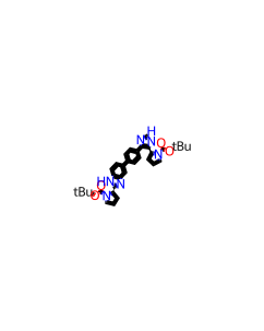 CC(C)(C)OC(=O)N1CCC[C@H]1c1nc2cc(-c3ccc(-c4nc[nH]c4[C@@H]4CCCN4C(=O)OC(C)(C)C)cc3)ccc2[nH]1